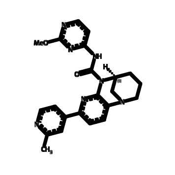 COc1nccc(NC(=O)N2c3nc(-c4ccnc(C)c4)ccc3N3CCC[C@H]2C3)n1